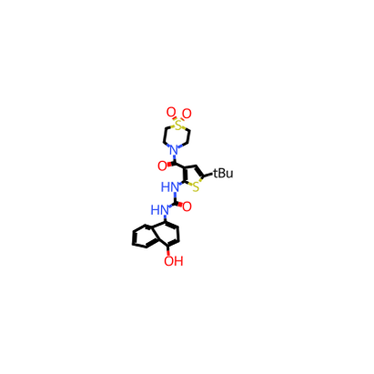 CC(C)(C)c1cc(C(=O)N2CCS(=O)(=O)CC2)c(NC(=O)Nc2ccc(O)c3ccccc23)s1